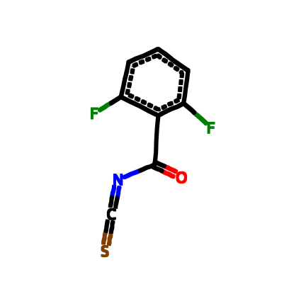 O=C(N=C=S)c1c(F)cccc1F